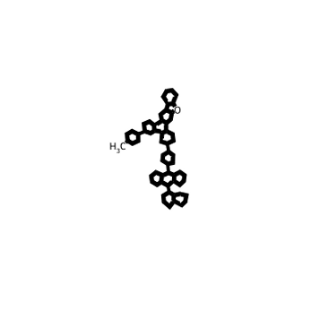 Cc1ccc(-c2ccc3c(c2)c2cc(-c4ccc(-c5c6ccccc6c(-c6cccc7ccccc67)c6ccccc56)cc4)ccc2c2cc4oc5ccccc5c4cc32)cc1